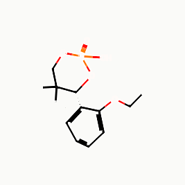 CCOc1ccccc1[C@H]1OP(=O)(O)OCC1(C)C